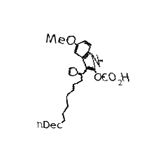 CCCCCCCCCCCCCCCCCC(=O)c1c(OC(=O)O)n(C)c2ccc(OC)cc12